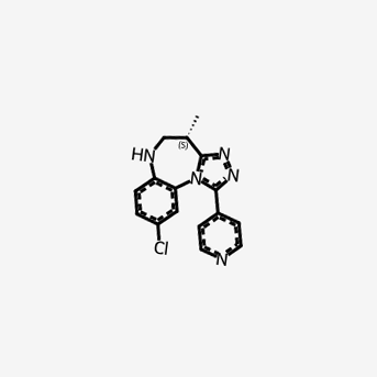 C[C@H]1CNc2ccc(Cl)cc2-n2c(-c3ccncc3)nnc21